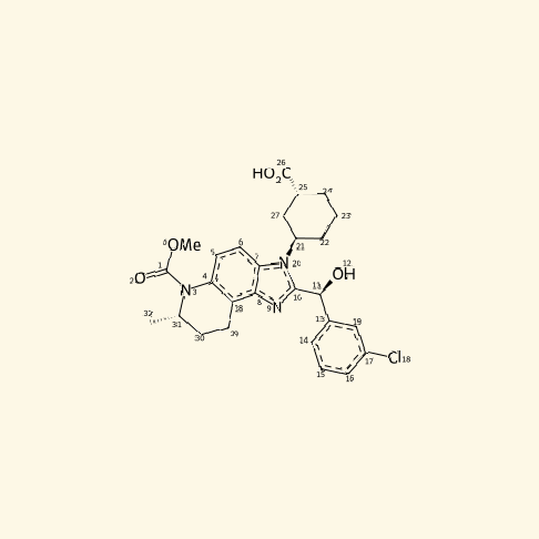 COC(=O)N1c2ccc3c(nc([C@@H](O)c4cccc(Cl)c4)n3[C@@H]3CCC[C@@H](C(=O)O)C3)c2CC[C@@H]1C